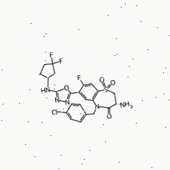 N[C@H]1CS(=O)(=O)c2cc(F)c(-c3nnc(NC4CCC(F)(F)C4)o3)cc2N(Cc2ccc(Cl)cc2)C1=O